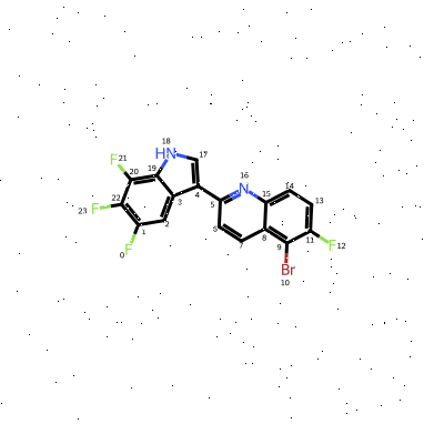 Fc1cc2c(-c3ccc4c(Br)c(F)ccc4n3)c[nH]c2c(F)c1F